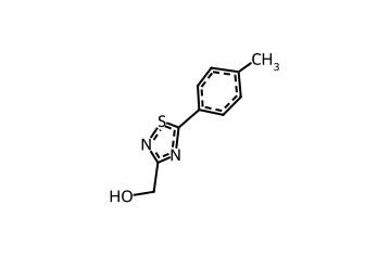 Cc1ccc(-c2nc(CO)ns2)cc1